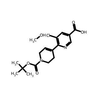 CC(C)(C)OC(=O)N1CC=C(c2ncc(C(=O)O)cc2Cl)CC1.CO